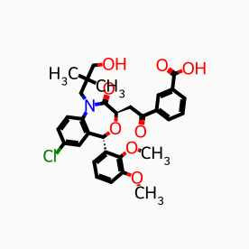 COc1cccc([C@H]2O[C@H](CC(=O)c3cccc(C(=O)O)c3)C(=O)N(CC(C)(C)CO)c3ccc(Cl)cc32)c1OC